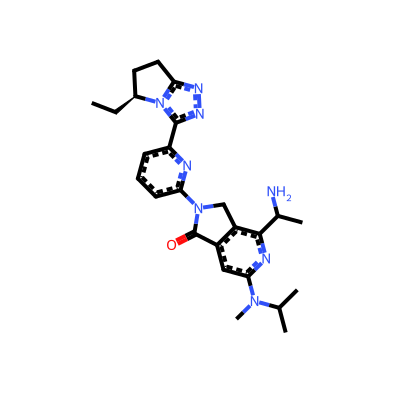 CC[C@H]1CCc2nnc(-c3cccc(N4Cc5c(cc(N(C)C(C)C)nc5C(C)N)C4=O)n3)n21